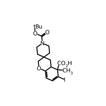 CC(C)(C)OC(=O)N1CCC2(CC1)COC1=CC=C(I)C(C)(C(=O)O)C1C2